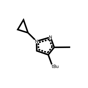 Cc1nn(C2CC2)cc1C(C)(C)C